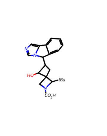 CC(C)(C)C1N(C(=O)O)CC12CC(C1c3ccccc3-c3cncn31)C2O